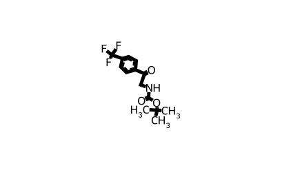 CC(C)(C)OC(=O)NCC(=O)c1ccc(C(F)(F)F)cc1